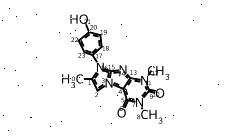 Cc1cn2c3c(=O)n(C)c(=O)n(C)c3nc2n1-c1ccc(O)cc1